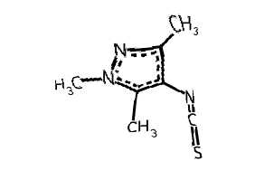 Cc1nn(C)c(C)c1N=C=S